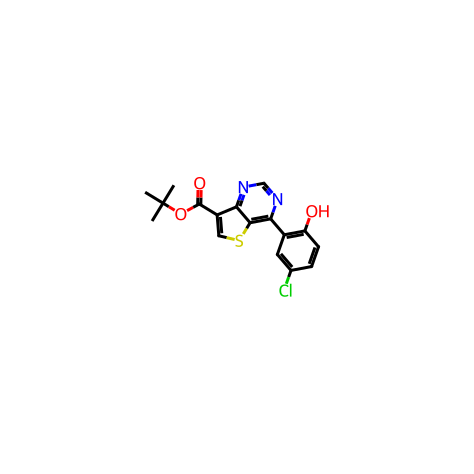 CC(C)(C)OC(=O)c1csc2c(-c3cc(Cl)ccc3O)ncnc12